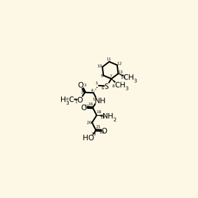 COC(=O)[C@H](CS[C@]1(C)CCCC[C@H]1C)NC(=O)[C@@H](N)CC(=O)O